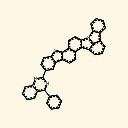 c1ccc(-c2nc(-c3ccc4sc5c(ccc6c5ccc5c6c6cccc7c8ccccc8n5c76)c4c3)nc3ccccc23)cc1